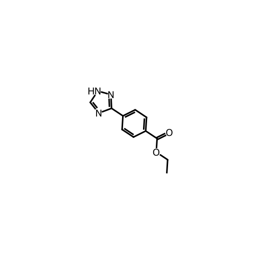 CCOC(=O)c1ccc(-c2nc[nH]n2)cc1